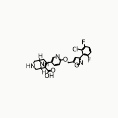 O=C(O)C1=C(c2ccc(OCc3cc(-c4c(F)ccc(F)c4Cl)no3)nc2)C[C@H]2CNC[C@@H]1N2